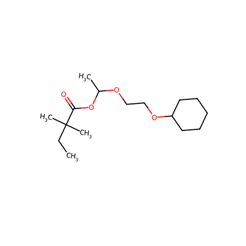 CCC(C)(C)C(=O)OC(C)OCCOC1CCCCC1